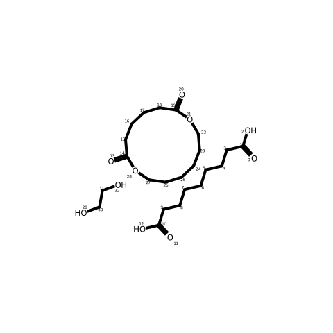 O=C(O)CCCCCCCC(=O)O.O=C1CCCCC(=O)OCCCCCCO1.OCCO